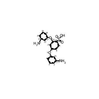 Nc1cccc(Oc2ccc(S(=O)(=O)O)c(Oc3cccc(N)c3)c2)c1